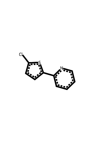 Clc1ccc(-c2ccccn2)s1